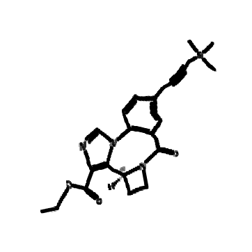 CCOC(=O)c1ncn2c1[C@@H]1CCN1C(=O)c1cc(C#C[Si](C)(C)C)ccc1-2